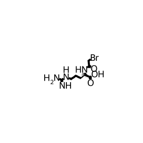 N=C(N)NCCC[C@@H](NC(=O)CBr)C(=O)O